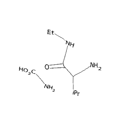 CCNC(=O)C(N)C(C)C.NC(=O)O